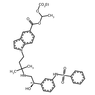 CCOC(=O)OC(C)OC(=O)c1ccc2c(ccn2CCC(C)(C)NC[C@H](O)c2cccc(NS(=O)(=O)c3ccccc3)c2)c1